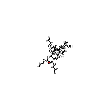 C=CCOC(=O)O[C@H]1[C@H](OC(=O)OCC=C)[C@@H](OC(=O)OCC=C)[C@@](O)(c2ccc(CO)cc2[N+](=O)[O-])O[C@@H]1C(=O)OCC=C